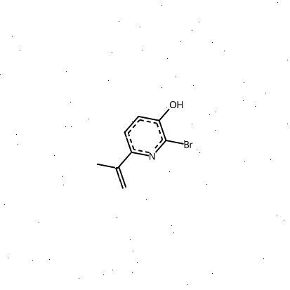 C=C(C)c1ccc(O)c(Br)n1